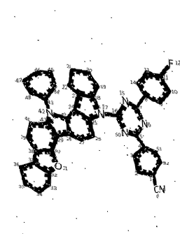 N#Cc1ccc(-c2nc(-c3ccc(F)cc3)nc(-n3c4ccccc4c4c3ccc3c5c6oc7ccccc7c6ccc5n(-c5ccccc5)c34)n2)cc1